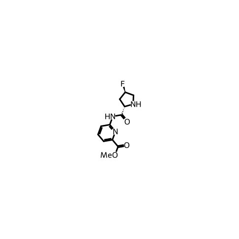 COC(=O)c1cccc(NC(=O)[C@@H]2C[C@@H](F)CN2)n1